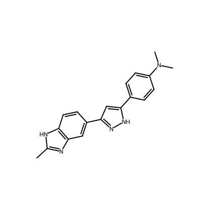 Cc1nc2cc(-c3cc(-c4ccc(N(C)C)cc4)[nH]n3)ccc2[nH]1